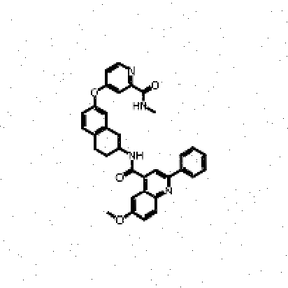 CNC(=O)c1cc(Oc2ccc3c(c2)CC(NC(=O)c2cc(-c4ccccc4)nc4ccc(OC)cc24)CC3)ccn1